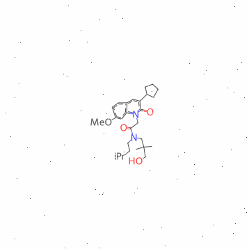 COc1ccc2cc(C3CCCC3)c(=O)n(CC(=O)N(CCC(C)C)CC(C)(C)CO)c2c1